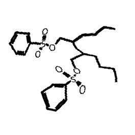 CCCCC(COS(=O)(=O)c1ccccc1)C(CCCC)COS(=O)(=O)c1ccccc1